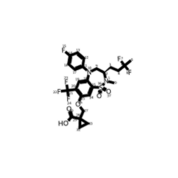 CN1[C@H](CCC(C)(F)F)CN(c2ccc(F)cc2)c2cc(C(F)(F)F)c(OCC3(C(=O)O)CC3)cc2S1(=O)=O